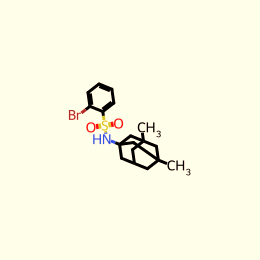 CC12CC3CC(C)(C1)CC(NS(=O)(=O)c1ccccc1Br)(C3)C2